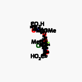 COc1cc2c(cc1OCCCOc1c(F)c3c(c(Cl)c1OC)CN(C(=O)CC(C)C(=O)O)C3)CN(C(=O)CC(C)C(=O)O)C2